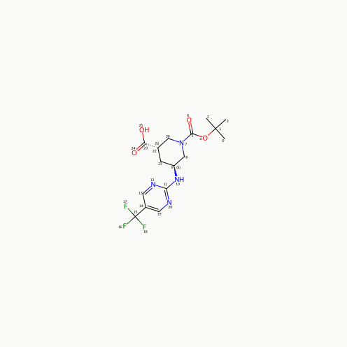 CC(C)(C)OC(=O)N1C[C@@H](Nc2ncc(C(F)(F)F)cn2)C[C@H](C(=O)O)C1